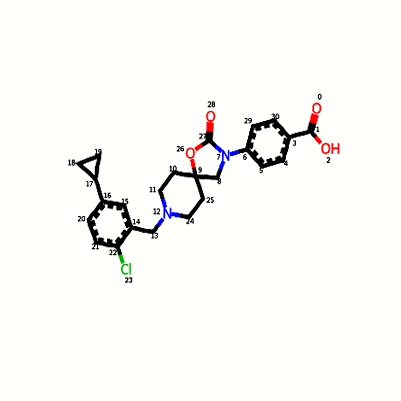 O=C(O)c1ccc(N2CC3(CCN(Cc4cc(C5CC5)ccc4Cl)CC3)OC2=O)cc1